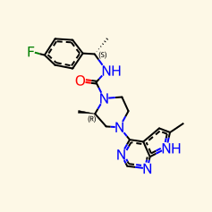 Cc1cc2c(N3CCN(C(=O)N[C@@H](C)c4ccc(F)cc4)[C@H](C)C3)ncnc2[nH]1